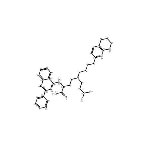 O=C(O)[C@H](CCN(CCCCc1ccc2c(n1)NCCC2)CCC(F)F)Nc1nc(-c2cccnc2)nc2ccccc12